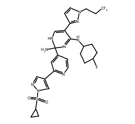 NC1(c2ccnc(-c3cnn(S(=O)(=O)C4CC4)c3)c2)N=C(NC2CCC(F)CC2)C(c2ccn(CCC(F)(F)F)n2)=CN1